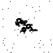 CNC(=O)CC1C[C@@H](c2ccc(F)c(F)c2)[C@H](NC(=O)c2cc3c(s2)CCCn2ncc(Cl)c2-3)CN1.Cl